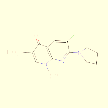 CCOC(=O)c1cn(C(C)(C)C)c2nc(N3CCCC3)c(Cl)cc2c1=O